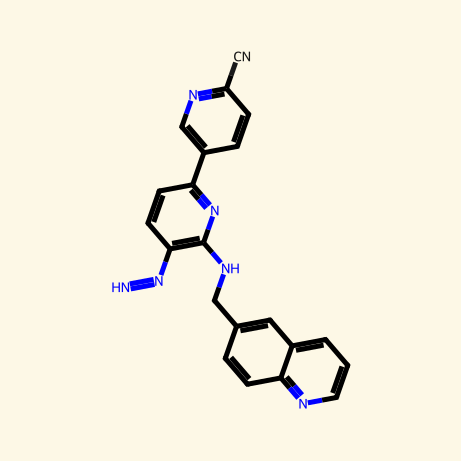 N#Cc1ccc(-c2ccc(N=N)c(NCc3ccc4ncccc4c3)n2)cn1